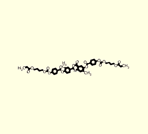 C=CC(=O)OCCCCOC(=O)Oc1ccc(C(=O)Oc2ccc(-c3nc4cc(C)c(OC(=O)c5ccc(OC(=O)OCCCCOC(=O)C=C)cc5)cc4c(=O)o3)cc2C)cc1